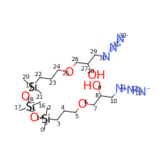 C[Si](C)(CCCOCC(O)CN=[N+]=[N-])O[Si](C)(C)O[Si](C)(C)CCCOCC(O)CN=[N+]=[N-]